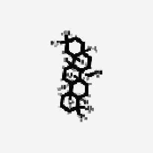 CC1(C)CC[C@]2(C)CC[C@]3(CO)[C@H](CC[C@@H]4[C@@]5(C)CCCC(C)(C)[C@@H]5CC[C@]43C)[C@@H]2C1